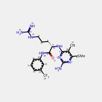 CSc1nc(N)nc(N[C@@H](CCCNC(=N)N)C(=O)Nc2cccc(C(F)(F)F)c2)c1C#N